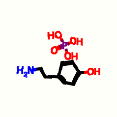 NCCc1ccc(O)cc1.O=P(O)(O)O